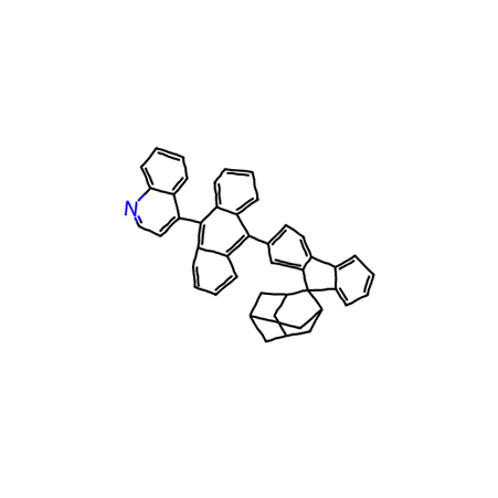 c1ccc2c(c1)-c1ccc(-c3c4ccccc4c(-c4ccnc5ccccc45)c4ccccc34)cc1C21C2CC3CC(C2)CC1C3